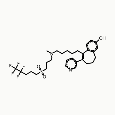 CN(CCCCCC1=C(c2cccnc2)CCCc2cc(O)ccc21)CCCS(=O)(=O)CCCC(F)(F)C(F)(F)F